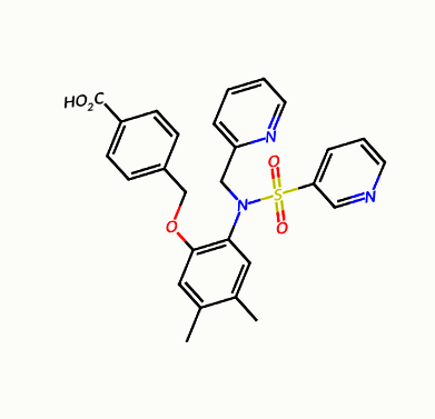 Cc1cc(OCc2ccc(C(=O)O)cc2)c(N(Cc2ccccn2)S(=O)(=O)c2cccnc2)cc1C